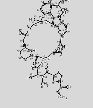 C=CC(=O)N1CC[C@H](C(=O)N(C)[C@H](C(=O)N[C@H]2Cc3nc(ns3)-c3ccc4c(c3)c(c(-c3cccnc3[C@H](C)OC)n4CC)CC(C)(C)COC(=O)C[C@@H]3CCCN(N3)C2=O)C(C)C)C1